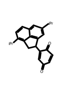 CC(C)c1cc2c3c(c(C(C)C)ccc3c1)CC2C1=CC(=O)C=CC1=O